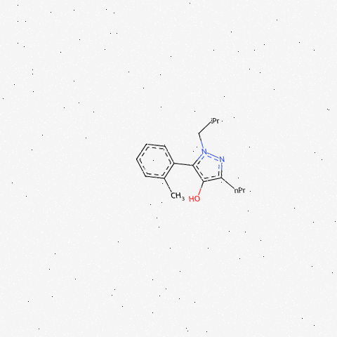 CCCc1nn(CC(C)C)c(-c2ccccc2C)c1O